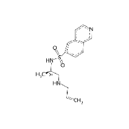 C=CCNC[C@@H](C)NS(=O)(=O)c1ccc2cnccc2c1